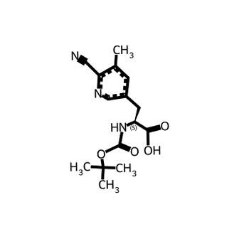 Cc1cc(C[C@H](NC(=O)OC(C)(C)C)C(=O)O)cnc1C#N